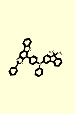 CC1(C)c2ccccc2-c2cc(N(c3ccccc3)c3ccc(-c4c5oc6ccccc6c5cc5nc(-c6ccccc6)sc45)cc3)ccc21